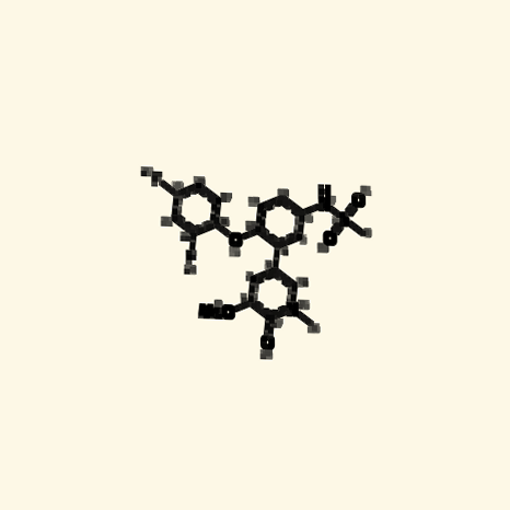 COc1cc(-c2cc(NS(C)(=O)=O)ccc2Oc2ccc(F)cc2F)cn(C)c1=O